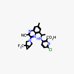 Cc1cc(C(C)Nc2ccc(Cl)nc2C(=O)O)c2nc(N3CC4CC4(C(F)(F)F)C3)c(C#N)nc2c1